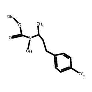 CC(CCc1ccc(C(F)(F)F)cc1)N(O)C(=O)OC(C)(C)C